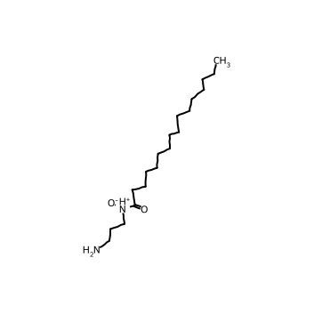 CCCCCCCCCCCCCCCC(=O)[NH+]([O-])CCCN